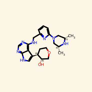 C[C@@H]1CN(c2cccc(CNc3ncnc4[nH]cc([C@H]5CCOC[C@@H]5O)c34)n2)C[C@H](C)N1